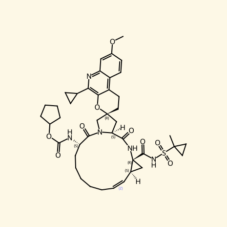 COc1ccc2c3c(c(C4CC4)nc2c1)O[C@]1(CC3)C[C@H]2C(=O)N[C@]3(C(=O)NS(=O)(=O)C4(C)CC4)C[C@H]3/C=C\CCCCC[C@H](NC(=O)OC3CCCC3)C(=O)N2C1